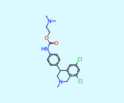 CN(C)CCOC(=O)Nc1ccc(C2CN(C)Cc3c(Cl)cc(Cl)cc32)cc1